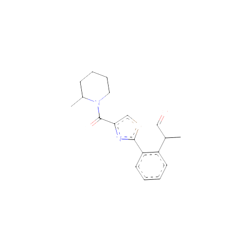 CC(C=O)c1ccccc1-c1nc(C(=O)N2CCCCC2C)cs1